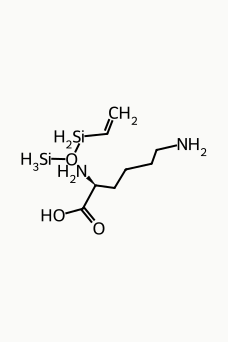 C=C[SiH2]O[SiH3].NCCCC[C@H](N)C(=O)O